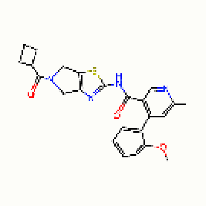 COc1ccccc1-c1cc(C)ncc1C(=O)Nc1nc2c(s1)CN(C(=O)C1CCC1)C2